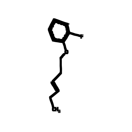 CC/C=C/CCOc1ccc[c]c1F